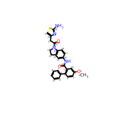 COc1ccc(-c2ccccc2)c(C(=O)Nc2ccc3c(c2)CCN3C(=O)Cc2csc(N)n2)c1